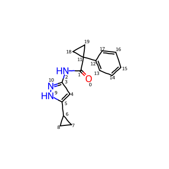 O=C(Nc1cc(C2CC2)[nH]n1)C1(c2ccccc2)CC1